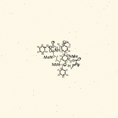 CNCCC[C@H](NC)C(=O)N[C@@H](Cc1cc(-c2ccc(OCc3ccccc3)c(C[C@H](NC)C(=O)P(F)P)c2)ccc1C)C(=O)OCc1ccccc1